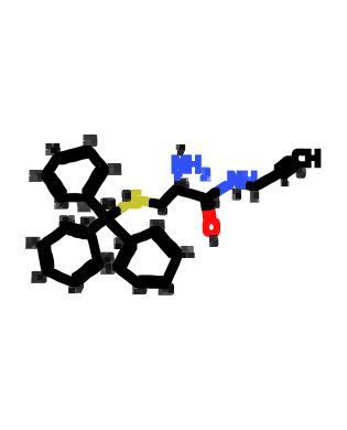 C#CCNC(=O)[C@@H](N)CSC(c1ccccc1)(c1ccccc1)c1ccccc1